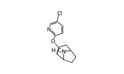 CN1C2CCC1CC(Oc1ccc(Cl)cn1)C2